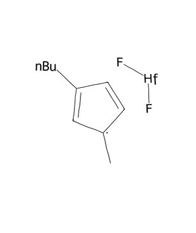 CCCCC1=C[C](C)C=C1.[F][Hf][F]